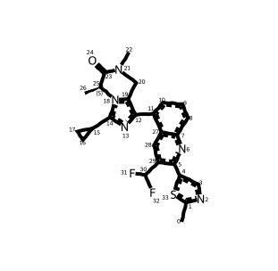 Cc1ncc(-c2nc3cccc(-c4nc(C5CC5)n5c4CN(C)C(=O)[C@@H]5C)c3cc2C(F)F)s1